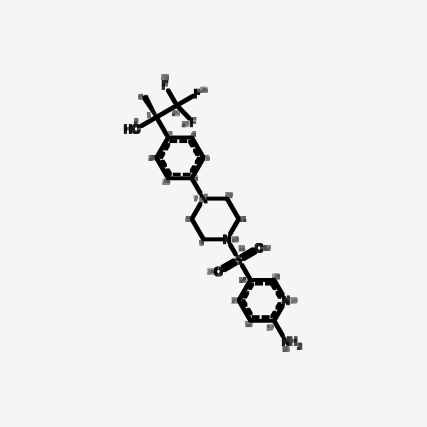 C[C@](O)(c1ccc(N2CCN(S(=O)(=O)c3ccc(N)nc3)CC2)cc1)C(F)(F)F